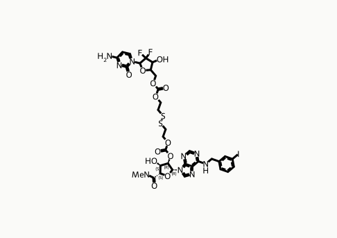 CNC(=O)[C@H]1O[C@@H](n2cnc3c(NCc4cccc(I)c4)ncnc32)[C@H](OC(=O)OCCSSCCOC(=O)OCC2OC(n3ccc(N)nc3=O)C(F)(F)C2O)[C@@H]1O